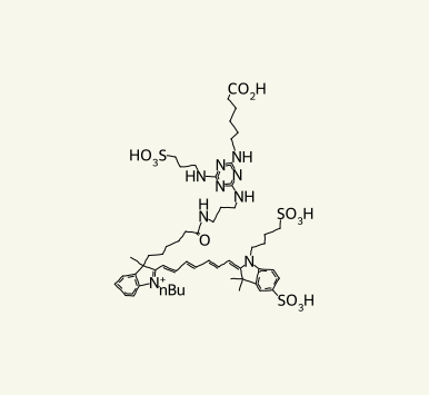 CCCC[N+]1=C(/C=C/C=C/C=C/C=C2/N(CCCCS(=O)(=O)O)c3ccc(S(=O)(=O)O)cc3C2(C)C)C(C)(CCCCCC(=O)NCCCNc2nc(NCCCCCC(=O)O)nc(NCCCS(=O)(=O)O)n2)c2ccccc21